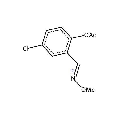 CO/N=C/c1cc(Cl)ccc1OC(C)=O